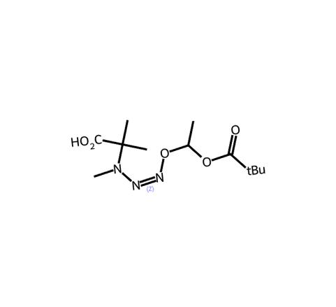 CC(O/N=N\N(C)C(C)(C)C(=O)O)OC(=O)C(C)(C)C